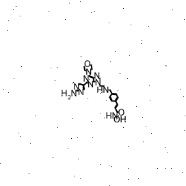 Nc1ncc(-c2nc(N3CCOCC3)c3ncn(CCNCc4ccc(C=CC(=O)NO)cc4)c3n2)cn1